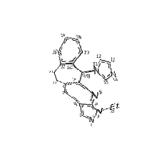 CCn1ncc2cc3c(nc21)C(n1ccnc1)c1ccccc1CC3